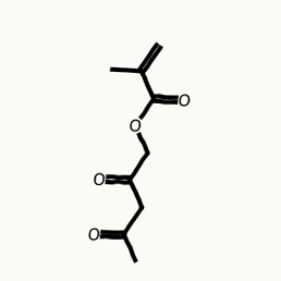 C=C(C)C(=O)OCC(=O)CC(C)=O